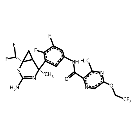 Cc1nc(OCC(F)(F)F)cnc1C(=O)Nc1cc(F)c(F)c([C@@]2(C)N=C(N)S[C@@]3(C(F)F)CC32)c1